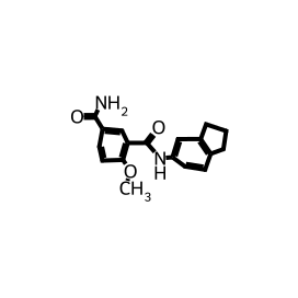 COc1ccc(C(N)=O)cc1C(=O)Nc1ccc2c(c1)CCC2